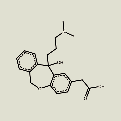 CN(C)CCCC1(O)c2ccccc2COc2ccc(CC(=O)O)cc21